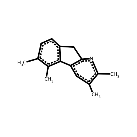 Cc1cc2c(nc1C)Cc1ccc(C)c(C)c1-2